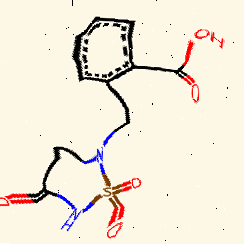 O=C1CN(Cc2ccccc2C(=O)O)S(=O)(=O)N1